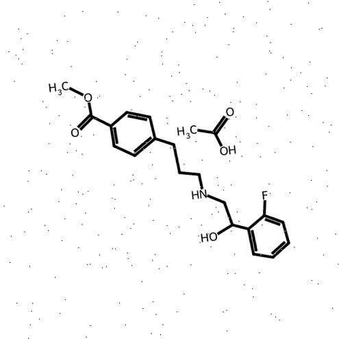 CC(=O)O.COC(=O)c1ccc(CCCNCC(O)c2ccccc2F)cc1